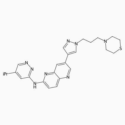 CC(C)c1cnnc(Nc2ccc3ncc(-c4cnn(CCCN5CCSCC5)c4)cc3n2)c1